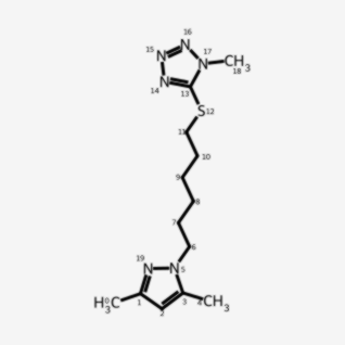 Cc1cc(C)n(CCCCCCSc2nnnn2C)n1